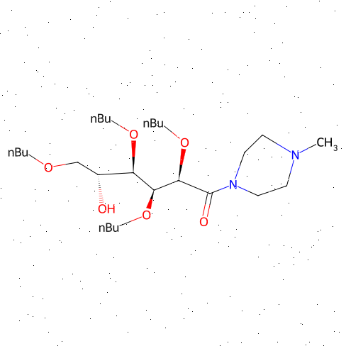 CCCCOC[C@@H](O)[C@@H](OCCCC)[C@H](OCCCC)[C@@H](OCCCC)C(=O)N1CCN(C)CC1